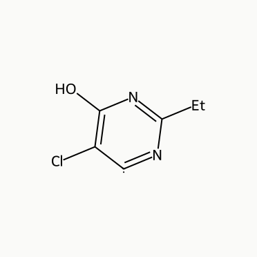 CCc1n[c]c(Cl)c(O)n1